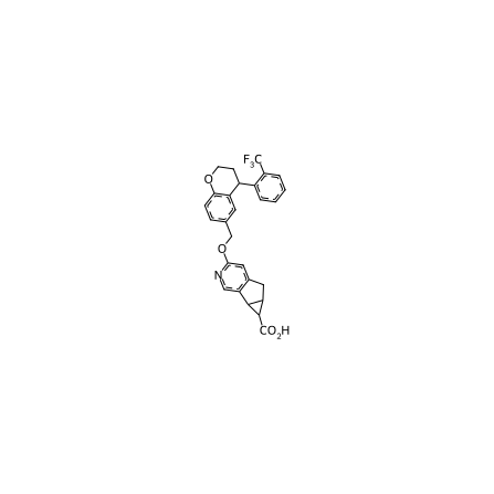 O=C(O)C1C2Cc3cc(OCc4ccc5c(c4)C(c4ccccc4C(F)(F)F)CCO5)ncc3C21